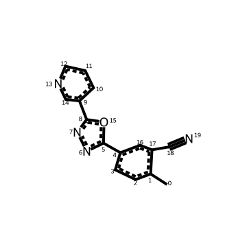 Cc1ccc(-c2nnc(-c3cccnc3)o2)cc1C#N